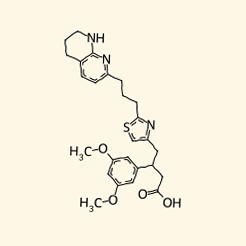 COc1cc(OC)cc(C(CC(=O)O)Cc2csc(CCCc3ccc4c(n3)NCCC4)n2)c1